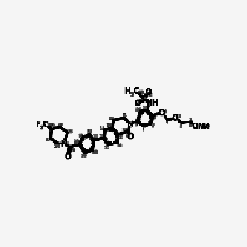 COCCOCOc1ccc(N2CCc3cc(-c4ccc(C(=O)N5CCC(C(F)(F)F)CC5)cc4)ccc3C2=O)cc1NS(C)(=O)=O